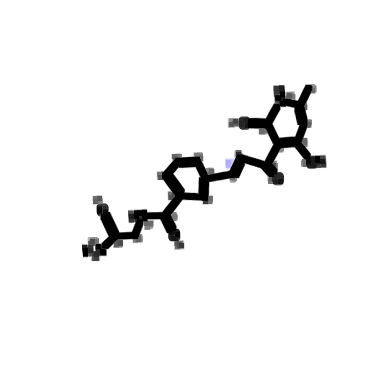 Cc1cc(O)c(C(=O)/C=C/c2cccc(C(=O)NCC(N)=O)c2)c(=O)[nH]1